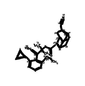 CNc1cccc(C2CC2)c1C(=N)C(C)(C)CC(=O)N1C2CC3CC1CC(C#N)(C3)C2